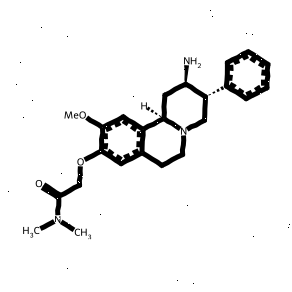 COc1cc2c(cc1OCC(=O)N(C)C)CCN1C[C@@H](c3ccccc3)[C@H](N)C[C@H]21